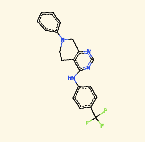 FC(F)(F)c1ccc(Nc2ncnc3c2CCN(c2ccccc2)C3)cc1